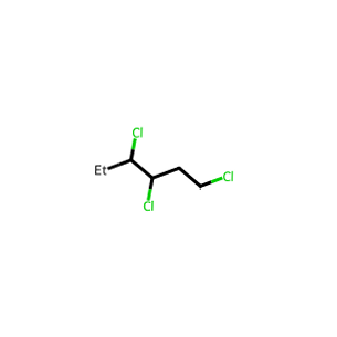 CCC(Cl)C(Cl)C[CH]Cl